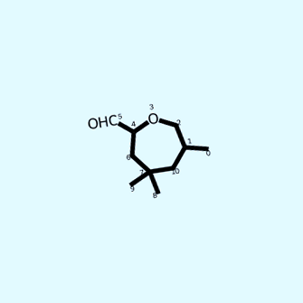 CC1COC(C=O)CC(C)(C)C1